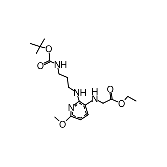 CCOC(=O)CNc1ccc(OC)nc1NCCCNC(=O)OC(C)(C)C